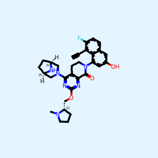 C#Cc1c(F)ccc2cc(O)cc(N3CCc4c(nc(OC[C@@H]5CCCN5C)nc4N4C[C@H]5CC[C@@H](C4)N5)C3=O)c12